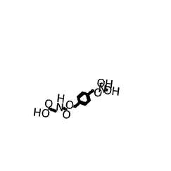 O=C(O)CNC(=O)OCc1ccc(CON(O)O)cc1